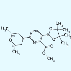 COC(=O)c1nc(N2C[C@@H](C)O[C@@H](C)C2)ccc1B1OC(C)(C)C(C)(C)O1